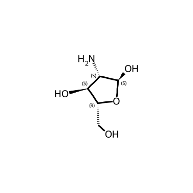 N[C@H]1[C@H](O)[C@@H](CO)O[C@@H]1O